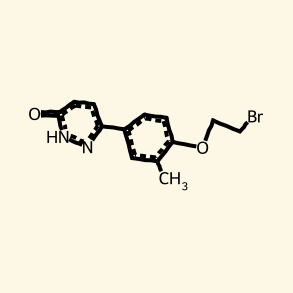 Cc1cc(-c2ccc(=O)[nH]n2)ccc1OCCBr